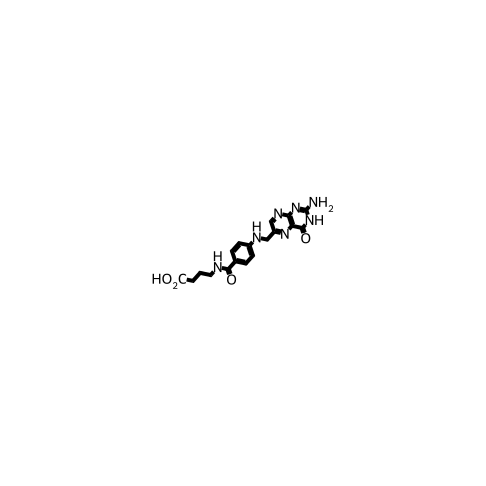 Nc1nc2ncc(CNc3ccc(C(=O)NCCCC(=O)O)cc3)nc2c(=O)[nH]1